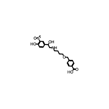 C[S+]([O-])c1cc(C(O)CNCCCCOCc2ccc(C(=O)O)cc2)ccc1O